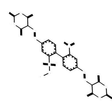 CCCNS(=O)(=O)c1cc(N=NC2C(=O)NC(=O)NC2=O)ccc1-c1ccc(N=NC2C(=O)NC(=O)NC2=O)cc1[SH](=O)=O